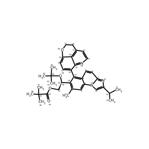 Cc1cc2c(ccc3nc(C(C)C)cn32)c(-c2ccc3c4c(ccnc24)CCO3)c1[C@@H](COC(=O)C(C)(C)C)OC(C)(C)C